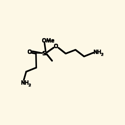 CO[Si](C)(OCCCN)C(=O)CCN